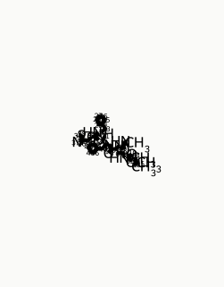 CNC(=O)N[C@@H](CCNC(=O)OC(C)(C)C)C(=O)N[C@H](CC[C@H](Cc1ccccc1)NC(=O)OCc1cncs1)Cc1ccccc1